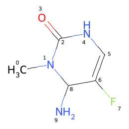 CN1C(=O)NC=C(F)C1N